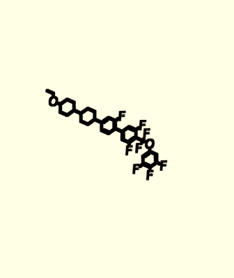 CCOC1CCC(C2CCC(c3ccc(-c4cc(F)c(C(F)(F)Oc5cc(F)c(F)c(F)c5)c(F)c4)c(F)c3)CC2)CC1